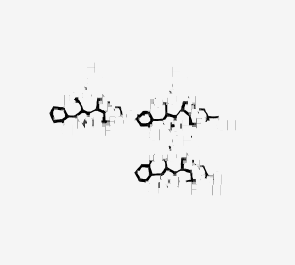 CCOC(=O)c1c(-c2c(F)cccc2Cl)noc1-c1cnn(CC(O)CC)c1C(F)(F)F.CCOC(=O)c1c(-c2c(F)cccc2Cl)noc1-c1cnn(C[C@@H](C)O)c1C(F)(F)F.CCOC(=O)c1c(-c2c(F)cccc2Cl)noc1-c1cnn(C[C@H](C)O)c1C(F)(F)F